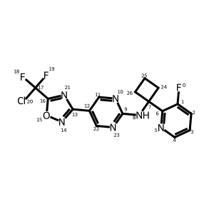 Fc1cccnc1C1(Nc2ncc(-c3noc(C(F)(F)Cl)n3)cn2)CCC1